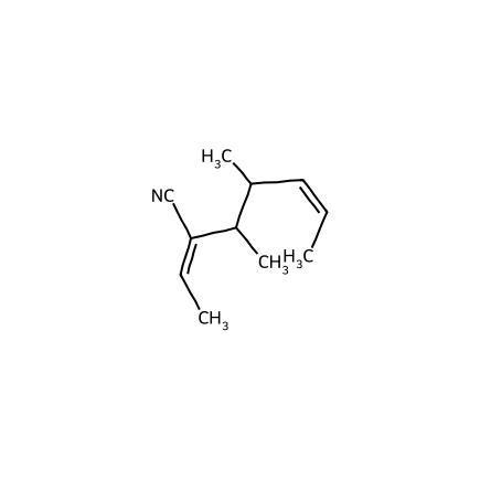 C/C=C\C(C)C(C)/C(C#N)=C\C